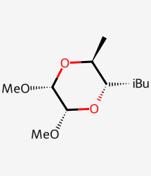 CC[C@@H](C)[C@@H]1O[C@H](OC)[C@H](OC)O[C@H]1C